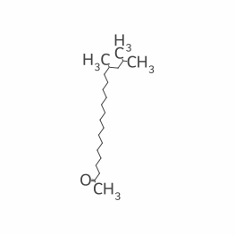 CC(=O)CCCCCCCCCCCCCCC(C)CC(C)C